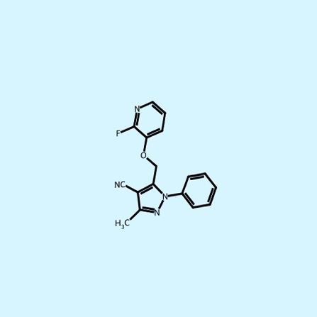 Cc1nn(-c2ccccc2)c(COc2cccnc2F)c1C#N